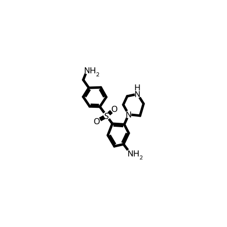 NCc1ccc(S(=O)(=O)c2ccc(N)cc2N2CCNCC2)cc1